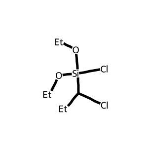 CCO[Si](Cl)(OCC)C(Cl)CC